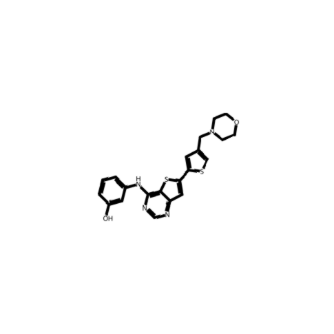 Oc1cccc(Nc2ncnc3cc(-c4cc(CN5CCOCC5)cs4)sc23)c1